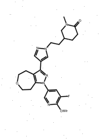 COc1ncc(-n2nc(-c3cnn(CCC4CCC(=O)N(C)C4)c3)c3c2CCOCC3)cc1F